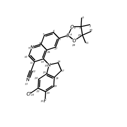 CC1(C)OB(c2ccc3ncc(C#N)c(N4CCc5cc(F)c(Cl)cc54)c3c2)OC1(C)C